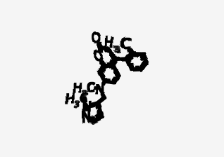 Cc1ccccc1-c1cc(=O)oc2cc(N(C)Cc3ccnn3C)ccc12